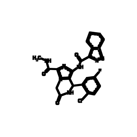 CNC(=O)c1nc(NC(=O)c2nsc3ccccc23)c2n1CC(=O)NC2c1cc(F)ccc1Cl